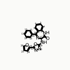 O=C1Nc2ccccc2C(c2ccccc2)=N[C@@H]1Nc1nnc(-c2ccco2)o1